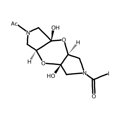 CC(=O)N1C[C@@H]2O[C@@]3(O)CN(C(=O)I)C[C@@H]3O[C@@]2(O)C1